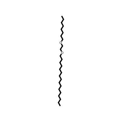 CCCCCCCCCCCCCCCCOCCOCCCCCCCC